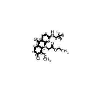 CCOC(=O)Cn1c2nc(NCC(F)(F)F)ccc2c(=O)c2ccc(Cl)c(SC)c21